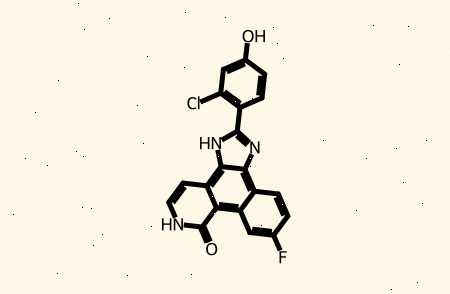 O=c1[nH]ccc2c3[nH]c(-c4ccc(O)cc4Cl)nc3c3ccc(F)cc3c12